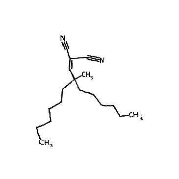 CCCCCCC(C)(C=C(C#N)C#N)CCCCCC